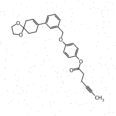 CC#CCCC(=O)Oc1ccc(OCc2cccc(C3=CCC4(CC3)OCCO4)c2)cc1